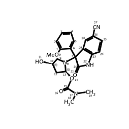 COc1ccccc1C1(N2C[C@H](O)C[C@@H]2OC(=O)N(C)C)C(=O)Nc2ccc(C#N)cc21